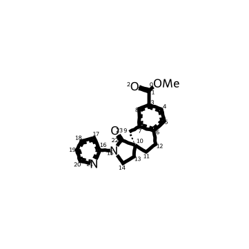 COC(=O)c1ccc2c(c1)C[C@]1(CC2)CCN(c2ccccn2)C1=O